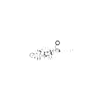 CC[C@H](C)[C@H](NC(=O)[C@H]1CCCCN1C)C(=O)N(C)[C@H](C[C@@H](OC)c1nc(C(=O)NC(Cc2ccccc2)CC(C)C(=O)O)cs1)C(C)C